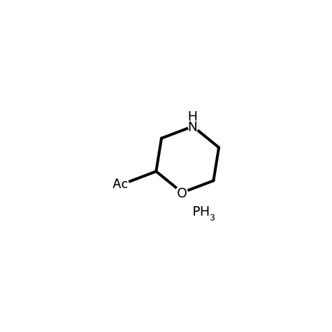 CC(=O)C1CNCCO1.P